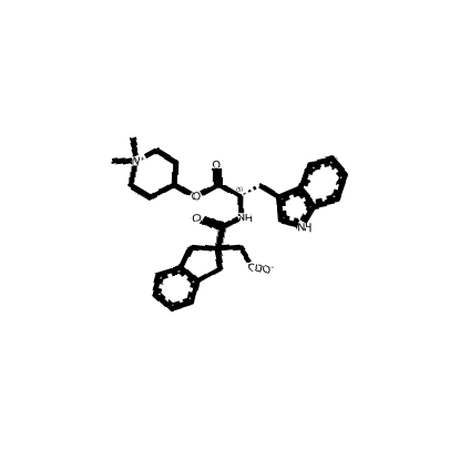 C[N+]1(C)CCC(OC(=O)[C@H](Cc2c[nH]c3ccccc23)NC(=O)C2(CC(=O)[O-])Cc3ccccc3C2)CC1